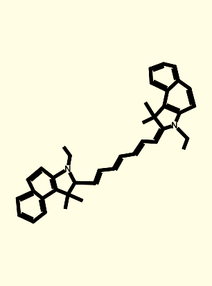 CCN1/C(=C/C=C/C=C/C=C/C2N(CC)c3ccc4ccccc4c3C2(C)C)C(C)(C)c2c1ccc1ccccc21